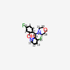 Oc1cc(F)ccc1C(c1ncccc1F)N1CCOCC1